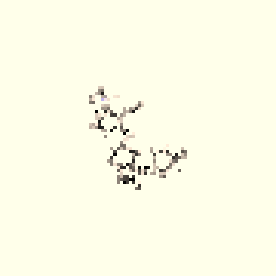 C#Cc1c(Sc2cnc(N)c(Oc3ccc(F)cc3)c2)ccnc1/C=C\C